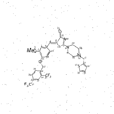 COc1cc(/C=C2\SC(N3CCN(Cc4cccs4)CC3)=NC2=O)ccc1OCc1ccc(C(F)(F)F)cc1C(F)(F)F